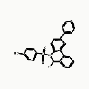 CCC1c2ccccc2-c2cc(-c3ccccc3)ccc2N1S(=O)(=O)c1ccc(O)cc1